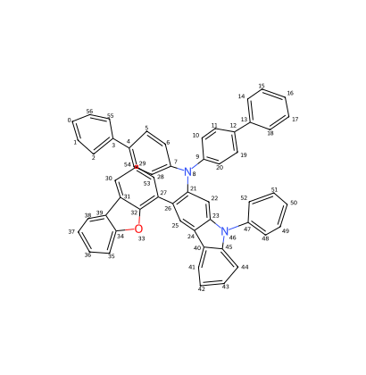 c1ccc(-c2ccc(N(c3ccc(-c4ccccc4)cc3)c3cc4c(cc3-c3cccc5c3oc3ccccc35)c3ccccc3n4-c3ccccc3)cc2)cc1